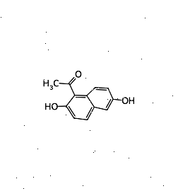 CC(=O)c1c(O)ccc2cc(O)ccc12